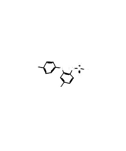 O=S(=O)(Nc1ccc(Cl)cc1Nc1ccc(Cl)cc1)C(F)(F)F